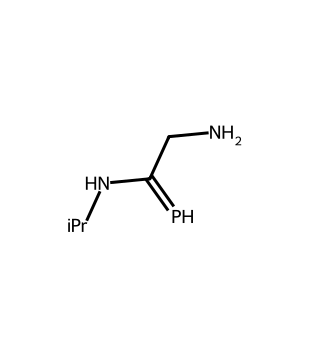 CC(C)NC(=P)CN